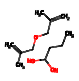 C=C(C)COCC(=C)C.CCCC(O)O